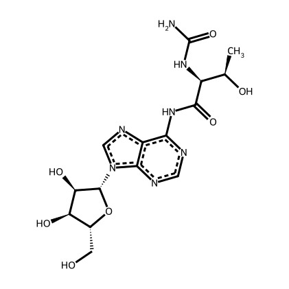 C[C@@H](O)[C@H](NC(N)=O)C(=O)Nc1ncnc2c1ncn2[C@@H]1O[C@H](CO)[C@@H](O)[C@H]1O